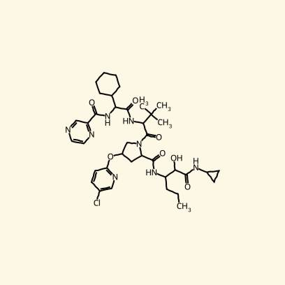 CCCC(NC(=O)C1CC(Oc2ccc(Cl)cn2)CN1C(=O)C(NC(=O)C(NC(=O)c1cnccn1)C1CCCCC1)C(C)(C)C)C(O)C(=O)NC1CC1